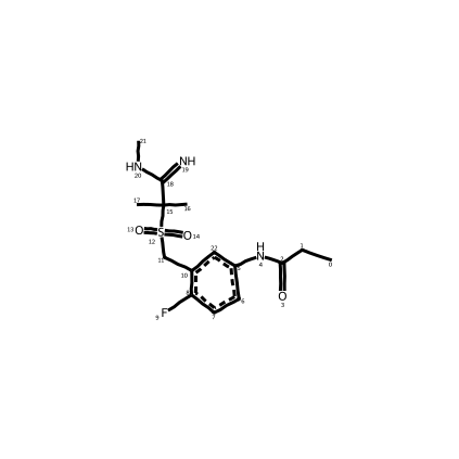 CCC(=O)Nc1ccc(F)c(CS(=O)(=O)C(C)(C)C(=N)NC)c1